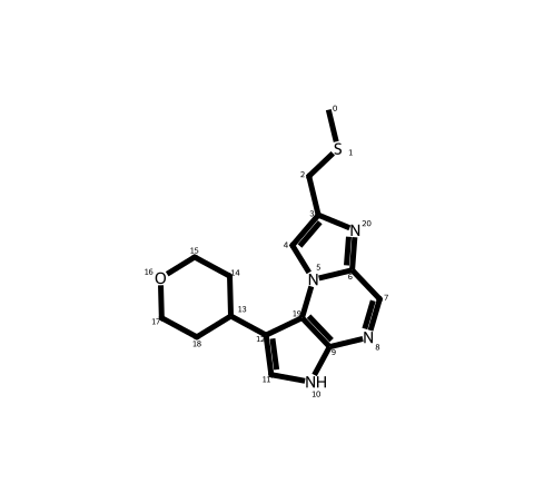 CSCc1cn2c(cnc3[nH]cc(C4CCOCC4)c32)n1